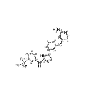 Nc1nccc(Oc2cccc(-c3nnc(Nc4cccc(C(F)(F)F)c4)[nH]3)c2)n1